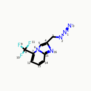 [N-]=[N+]=NCc1cn2c(C(F)(F)F)cccc2n1